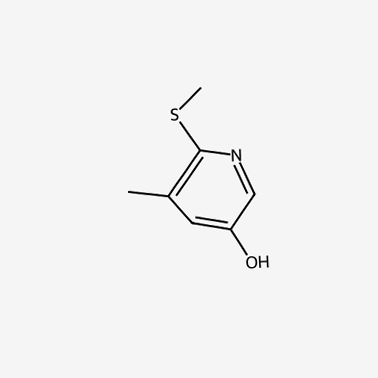 CSc1ncc(O)cc1C